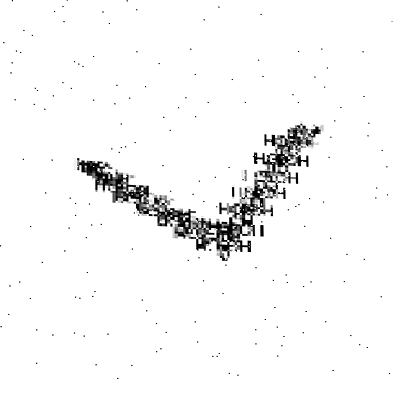 O=P(O)(O)O.O=P(O)(O)O.O=P(O)(O)O.O=P(O)(O)O.O=P([O-])(O)O.O=P([O-])(O)O.O=P([O-])(O)O.O=P([O-])(O)O.O=P([O-])(O)O.O=P([O-])(O)O.O=P([O-])(O)O.O=P([O-])(O)O.[Na+].[Na+].[Na+].[Na+].[Na+].[Na+].[Na+].[Na+]